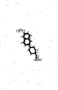 CCCc1ccc2cc(C3CCC(CC(C)CC)CC3)ccc2c1